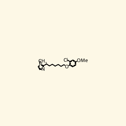 COc1ccc(OCCCCCCCc2nccn2C)c(Cl)c1